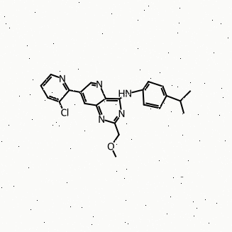 COCc1nc(Nc2ccc(C(C)C)cc2)c2ncc(-c3ncccc3Cl)cc2n1